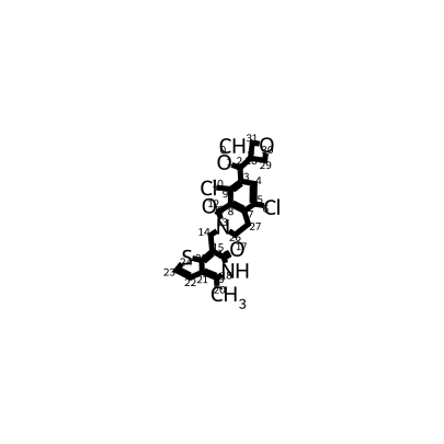 COC(c1cc(Cl)c2c(c1Cl)C(=O)N(Cc1c(=O)[nH]c(C)c3ccsc13)CC2)C1COC1